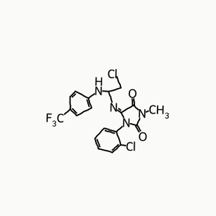 CN1C(=O)C(=NC(CCl)Nc2ccc(C(F)(F)F)cc2)N(c2ccccc2Cl)C1=O